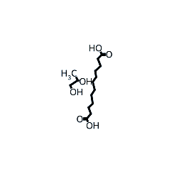 CC(O)CO.O=C(O)CCCCCCCCCCC(=O)O